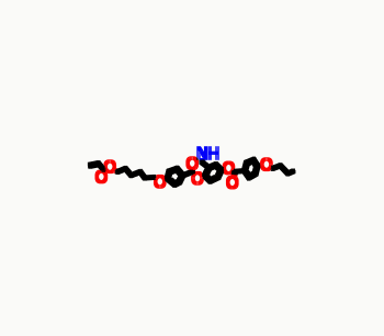 C=CC(=O)OCCCCCCOc1ccc(C(=O)Oc2ccc(OC(=O)c3ccc(OCCCC)cc3)cc2C=N)cc1